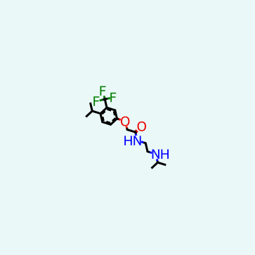 CC(C)NCCNC(=O)COc1ccc(C(C)C)c(C(F)(F)F)c1